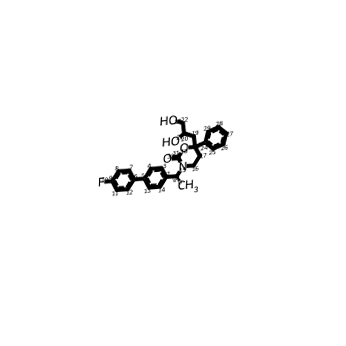 C[C@@H](c1ccc(-c2ccc(F)cc2)cc1)N1CCC(CC(O)CO)(c2ccccc2)OC1=O